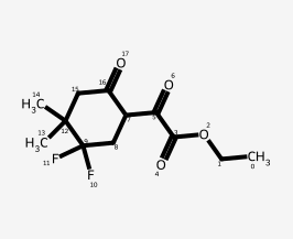 CCOC(=O)C(=O)C1CC(F)(F)C(C)(C)CC1=O